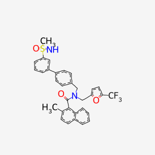 Cc1ccc2ccccc2c1C(=O)N(Cc1ccc(-c2cccc(S(C)(=N)=O)c2)cc1)Cc1ccc(C(F)(F)F)o1